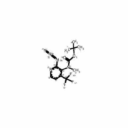 CN(C(=O)OC(C)(C)C)c1c(C(F)(F)F)ccnc1N=[N+]=[N-]